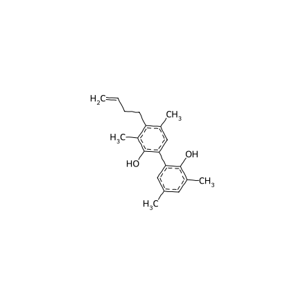 C=CCCc1c(C)cc(-c2cc(C)cc(C)c2O)c(O)c1C